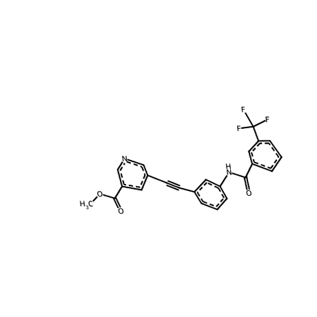 COC(=O)c1cncc(C#Cc2cccc(NC(=O)c3cccc(C(F)(F)F)c3)c2)c1